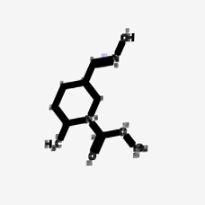 CC1CCC(/C=N/O)CN1C(=O)OC(C)(C)C